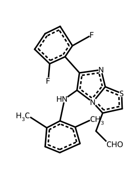 Cc1cccc(C)c1Nc1c(-c2c(F)cccc2F)nc2scc(CC=O)n12